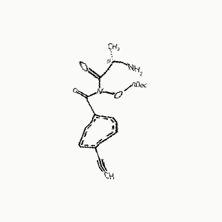 C#Cc1ccc(C(=O)N(OCCCCCCCCCC)C(=O)[C@H](C)N)cc1